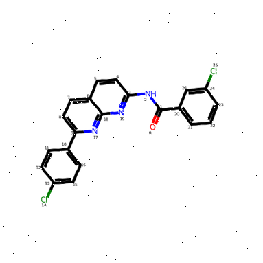 O=C(Nc1ccc2ccc(-c3ccc(Cl)cc3)nc2n1)c1cccc(Cl)c1